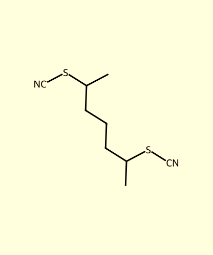 CC(CCCC(C)SC#N)SC#N